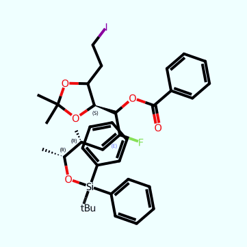 C[C@H](/C=C(/F)C(OC(=O)c1ccccc1)[C@H]1OC(C)(C)OC1CCI)[C@@H](C)O[Si](c1ccccc1)(c1ccccc1)C(C)(C)C